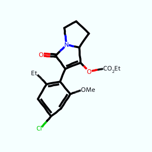 CCOC(=O)OC1=C(c2c(CC)cc(Cl)cc2OC)C(=O)N2CCCC12